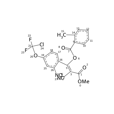 COC(=O)C(C#N)=C(OC(=O)c1ccccc1C)c1ccc(OC(F)(F)Cl)cc1[N+](=O)[O-]